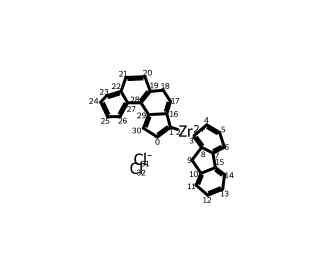 C1=[C]([Zr+2][c]2cccc3c2Cc2ccccc2-3)C2=CCc3ccc4ccccc4c3C2=C1.[Cl-].[Cl-]